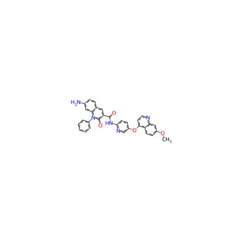 COc1ccc2c(Oc3ccc(NC(=O)c4cc5ccc(N)cc5n(-c5ccccc5)c4=O)nc3)ccnc2c1